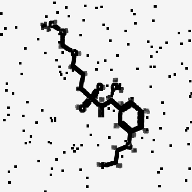 COCOCCCS(=O)(=O)N[C@H](C)c1cccc(OCCF)c1